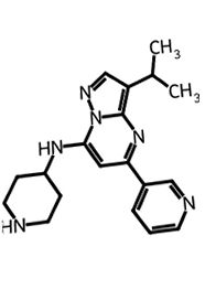 CC(C)c1cnn2c(NC3CCNCC3)cc(-c3cccnc3)nc12